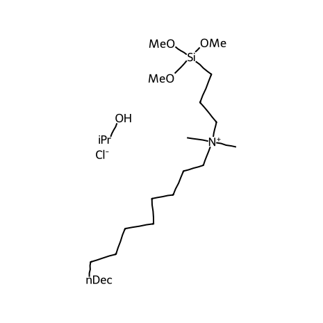 CC(C)O.CCCCCCCCCCCCCCCCCC[N+](C)(C)CCC[Si](OC)(OC)OC.[Cl-]